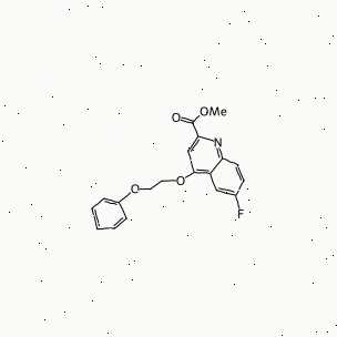 COC(=O)c1cc(OCCOc2ccccc2)c2cc(F)ccc2n1